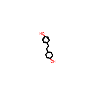 Oc1ccc(CCC2CCC(O)CC2)cc1